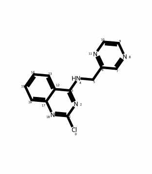 Clc1nc(NCc2cnccn2)c2ccccc2n1